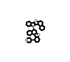 c1ccc2c(c1)ccc1oc3c4ccccc4n(-c4cc5oc6cccc(-c7ccncc7)c6c5c5ccccc45)c3c12